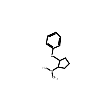 CN(O)C1CCCC1Oc1ccccc1